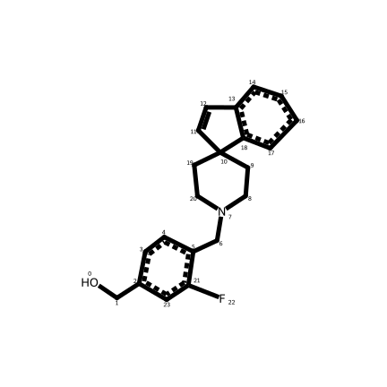 OCc1ccc(CN2CCC3(C=Cc4ccccc43)CC2)c(F)c1